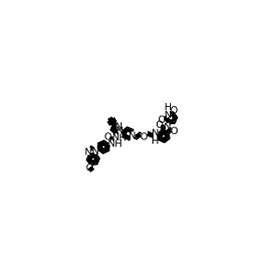 COc1ccc2c(c1)ncn2-c1ccc(NC(=O)Nc2cc(C(C)(C)C)nn2C2CCN(CCOCCNc3cccc4c3C(=O)N(C3CCC(=O)NC3=O)C4=O)CC2)cc1